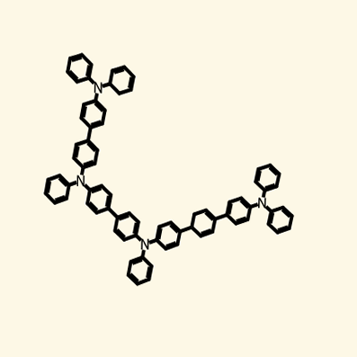 C1=CCC(N(c2ccccc2)c2ccc(-c3ccc(N(c4ccccc4)c4ccc(-c5ccc(N(c6ccccc6)c6ccc(C7C=CC(c8ccc(N(c9ccccc9)c9ccccc9)cc8)=CC7)cc6)cc5)cc4)cc3)cc2)C=C1